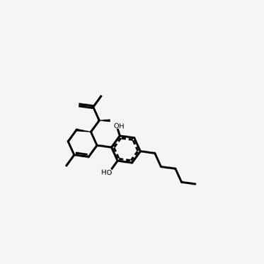 C=C(C)[C@@H](C)[C@@H]1CCC(C)=CC1c1c(O)cc(CCCCC)cc1O